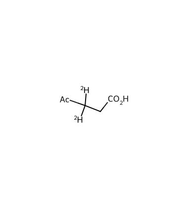 [2H]C([2H])(CC(=O)O)C(C)=O